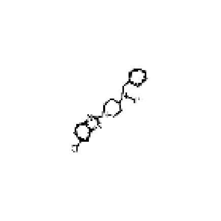 CC(C)N(Cc1c[c]ccc1)C1CCN(c2nc3ccc(Cl)cc3s2)CC1